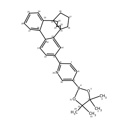 CC1(C)OB(c2ccc(-c3ccc4c(c3)C35CCCC3(CCC5)c3ccccc3-4)nc2)OC1(C)C